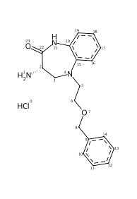 Cl.N[C@H]1CN(CCOCc2ccccc2)c2ccccc2NC1=O